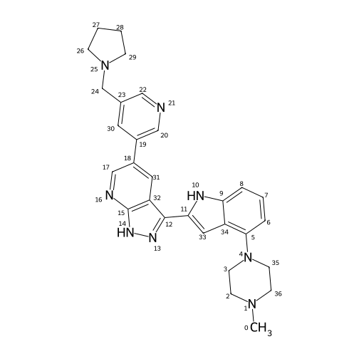 CN1CCN(c2cccc3[nH]c(-c4n[nH]c5ncc(-c6cncc(CN7CCCC7)c6)cc45)cc23)CC1